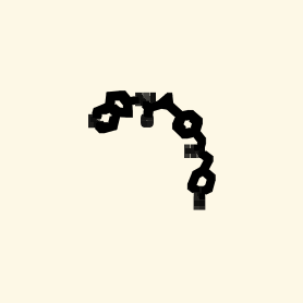 O=C(Nc1ccc2cnccc2c1)C1CC1c1ccc(CNCC2CCNCC2)cc1